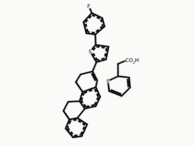 Fc1ccc(-c2ccc(C3=Cc4ccc5c(c4CC3)CCc3ccccc3-5)s2)cc1.O=C(O)CC1C=CC=CS1